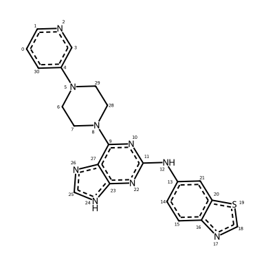 c1cncc(N2CCN(c3nc(Nc4ccc5ncsc5c4)nc4[nH]cnc34)CC2)c1